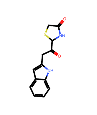 O=C1CSC(C(=O)[CH]c2cc3ccccc3[nH]2)N1